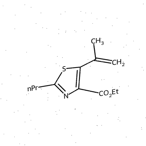 C=C(C)c1sc(CCC)nc1C(=O)OCC